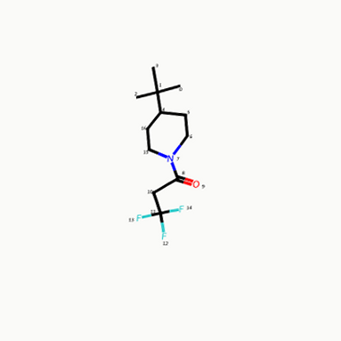 CC(C)(C)C1CCN(C(=O)CC(F)(F)F)CC1